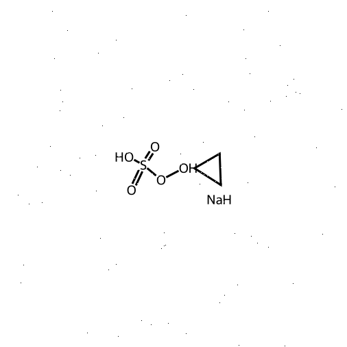 C1CC1.O=S(=O)(O)OO.[NaH]